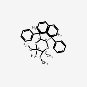 CO[C@]1(C)O[C@@H](C(P)(c2ccccc2)c2ccccc2)[C@H](C(P)(c2ccccc2)c2ccccc2)O[C@@]1(C)OC